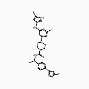 Cc1cc(N2CCN(C(=O)NC(C)c3ccc(-n4cc(F)cn4)nc3)CC2)cc(Nc2cc(C)[nH]n2)n1